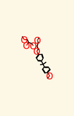 COCC(COC(COC)COc1ccc(C(C)(C)c2ccc(OC)cc2)cc1)OC